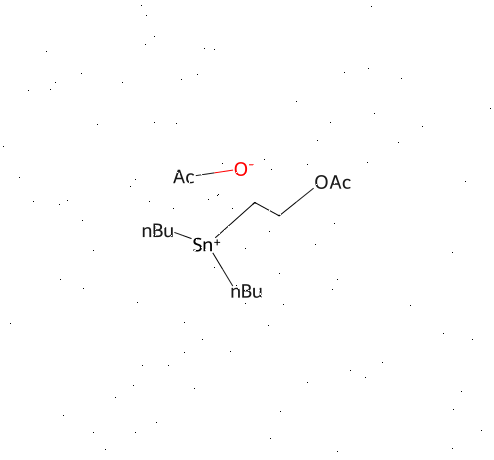 CC(=O)[O-].CCC[CH2][Sn+]([CH2]CCC)[CH2]COC(C)=O